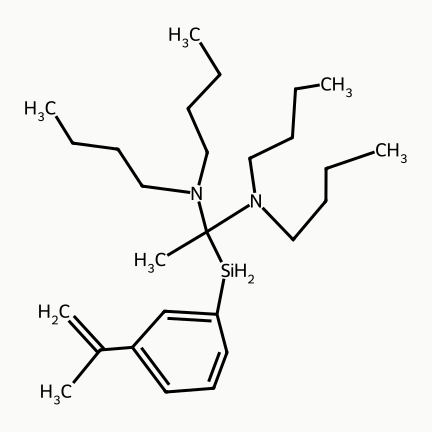 C=C(C)c1cccc([SiH2]C(C)(N(CCCC)CCCC)N(CCCC)CCCC)c1